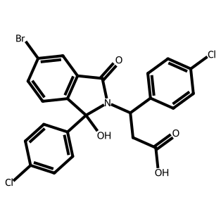 O=C(O)CC(c1ccc(Cl)cc1)N1C(=O)c2cc(Br)ccc2C1(O)c1ccc(Cl)cc1